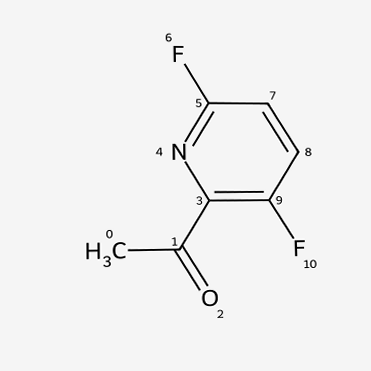 CC(=O)c1nc(F)ccc1F